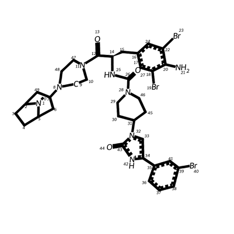 CN1C2CCC1CC(N1CCN(C(=O)[C@@H](Cc3cc(Br)c(N)c(Br)c3)NC(=O)N3CCC(n4cc(-c5cccc(Br)c5)[nH]c4=O)CC3)CC1)C2